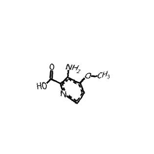 COc1ccnc(C(=O)O)c1N